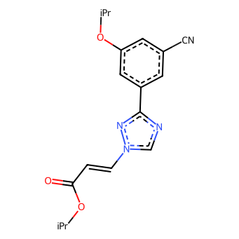 CC(C)OC(=O)C=Cn1cnc(-c2cc(C#N)cc(OC(C)C)c2)n1